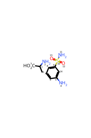 CC(N)C(=O)O.Nc1cccc(S(N)(=O)=O)c1